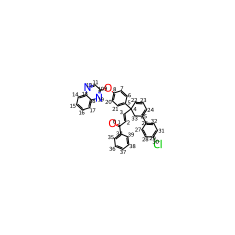 O=C(/C=C/C1(c2ccc(Oc3cnc4ccccc4n3)cc2)C=CC=C(c2ccc(Cl)cc2)C1)c1ccccc1